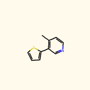 Cc1ccncc1-c1cccs1